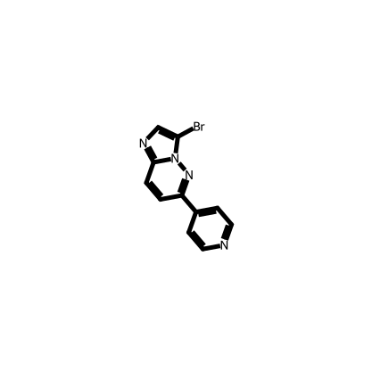 Brc1cnc2ccc(-c3ccncc3)nn12